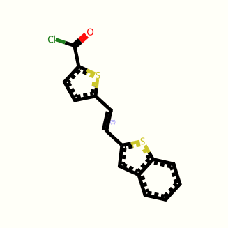 O=C(Cl)c1ccc(/C=C/c2cc3ccccc3s2)s1